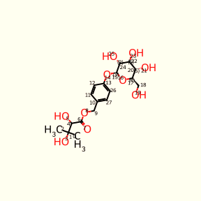 CC(C)(O)C(O)C(=O)OCc1ccc(O[C@@H]2O[C@H](CO)[C@@H](O)[C@H](O)[C@H]2O)cc1